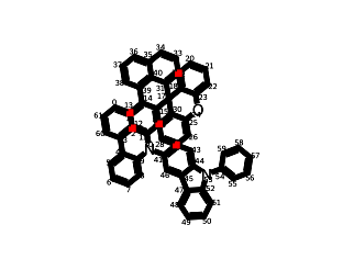 c1ccc(-c2ccccc2N(c2ccc3c(c2)C2(c4ccccc4Oc4ccccc42)c2cccc4cccc-3c24)c2ccc3c(c2)c2ccccc2n3-c2ccccc2)cc1